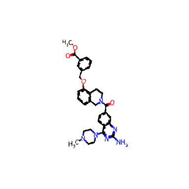 COC(=O)c1cccc(COc2cccc3c2CCN(C(=O)c2ccc4c(N5CCN(C)CC5)nc(N)nc4c2)C3)c1